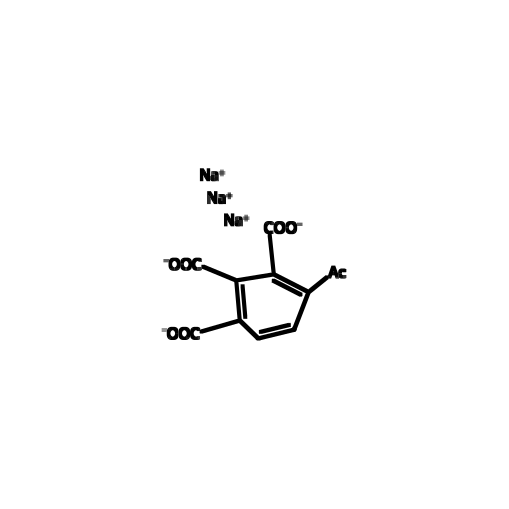 CC(=O)c1ccc(C(=O)[O-])c(C(=O)[O-])c1C(=O)[O-].[Na+].[Na+].[Na+]